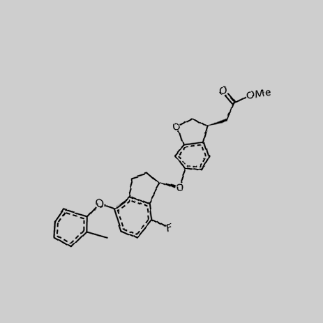 COC(=O)C[C@@H]1COc2cc(O[C@@H]3CCc4c(Oc5ccccc5C)ccc(F)c43)ccc21